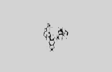 CC1(C)Cc2cc(NC(=O)c3cnn4cccnc34)c(N3CCCN(CC(F)F)CC3)cc2O1